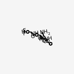 NCCCCC(NC(=O)OCc1ccccc1)C(=O)c1noc(Cc2ccc(C(=O)NCCc3ccc(C(F)(F)F)cc3)cc2)n1